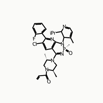 C=CC(=O)N1C[C@H](C)N(C2=N[P@](C)(=O)N(C3C(C)=CC=NC3C(C)C)c3nc(-c4ccccc4F)c(Cl)cc32)C[C@H]1C